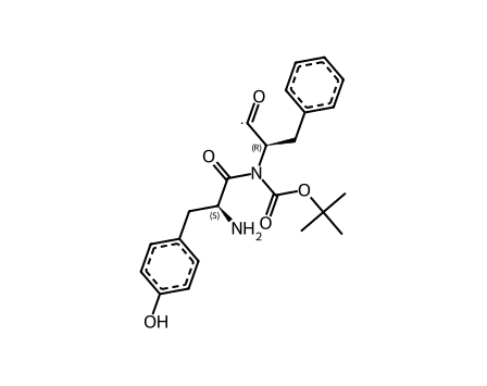 CC(C)(C)OC(=O)N(C(=O)[C@@H](N)Cc1ccc(O)cc1)[C@@H]([C]=O)Cc1ccccc1